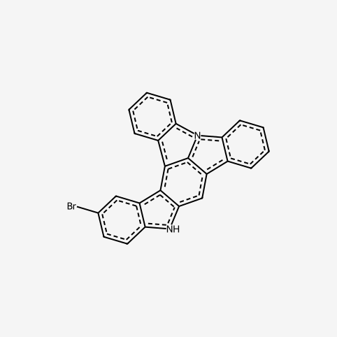 Brc1ccc2[nH]c3cc4c5ccccc5n5c6ccccc6c(c3c2c1)c45